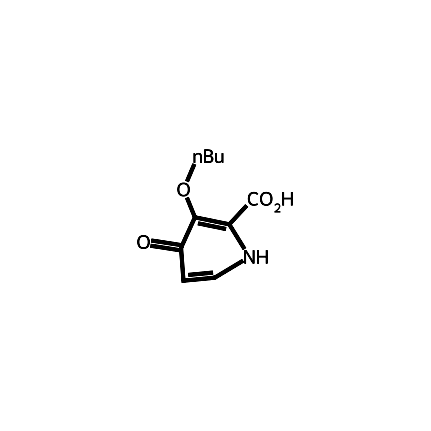 CCCCOc1c(C(=O)O)[nH]ccc1=O